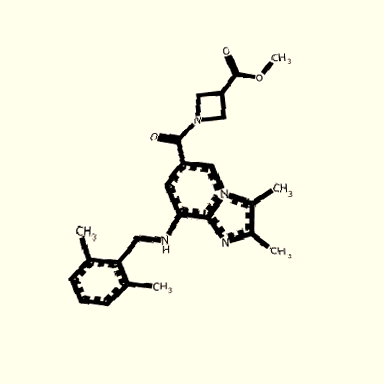 COC(=O)C1CN(C(=O)c2cc(NCc3c(C)cccc3C)c3nc(C)c(C)n3c2)C1